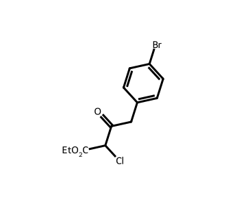 CCOC(=O)C(Cl)C(=O)Cc1ccc(Br)cc1